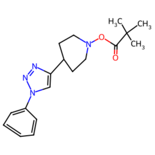 CC(C)(C)C(=O)ON1CCC(c2cn(-c3ccccc3)nn2)CC1